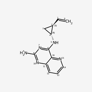 C=C[C@@H]1C[C@H]1Nc1nc(N)nc2cccnc12